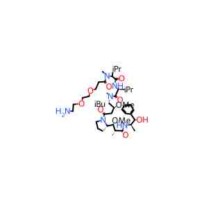 CC[C@H](C)[C@@H]([C@@H](CC(=O)N1CCC[C@H]1[C@H](OC)[C@@H](C)C(=O)N[C@H](C)[C@@H](O)c1ccccc1)OC)N(C)C(=O)[C@@H](NC(=O)C(C(C)C)N(C)C(=O)CCOCCOCCN)C(C)C